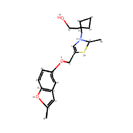 Cc1cc2cc(OCC3=CN(C4(CO)CCC4)C(C)S3)ccc2o1